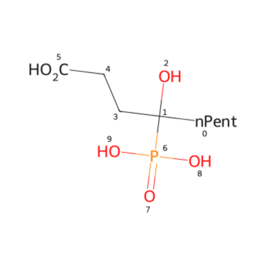 CCCCCC(O)(CCC(=O)O)P(=O)(O)O